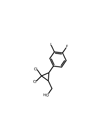 OCC1C(c2ccc(F)c(I)c2)C1(Cl)Cl